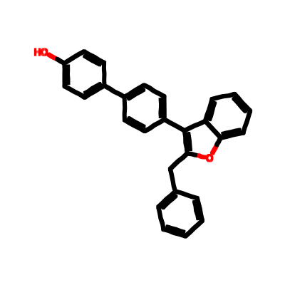 Oc1ccc(-c2ccc(-c3c(Cc4ccccc4)oc4ccccc34)cc2)cc1